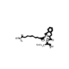 CCOC(=O)C(CC(C)C)NC(=O)C1Cc2ccccc2CN1C(=O)CCCCCCC(=O)NO